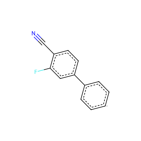 N#Cc1ccc(-c2cc[c]cc2)cc1F